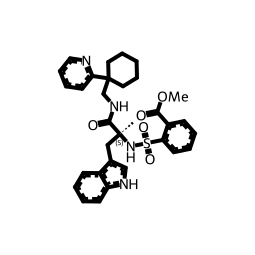 COC(=O)c1ccccc1S(=O)(=O)N[C@@](C)(Cc1c[nH]c2ccccc12)C(=O)NCC1(c2ccccn2)CCCCC1